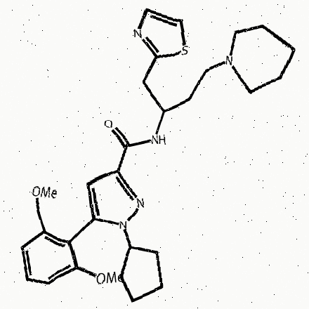 COc1cccc(OC)c1-c1cc(C(=O)NC(CCN2CCCCC2)Cc2nccs2)nn1C1CCCC1